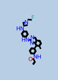 C=CC(=O)Nc1cccc(-c2c(C)ccc3cnc(Nc4ccc(NC5CN(CCF)C5)cc4)nc23)c1